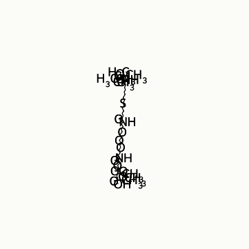 CC(C)C(NC(=O)CCCCCCCSCCCCCC(=O)NCCCOCCOCCOCCCNC(=O)COCC(=O)C(CCC(=O)O)C(=O)OC(C)(C)C)C(=O)OC(C)(C)C